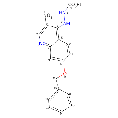 CCOC(=O)NNc1c([N+](=O)[O-])cnc2cc(OCc3ccccc3)ccc12